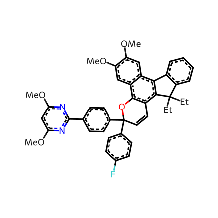 CCC1(CC)c2ccccc2-c2c1c1c(c3cc(OC)c(OC)cc23)OC(c2ccc(F)cc2)(c2ccc(-c3nc(OC)cc(OC)n3)cc2)C=C1